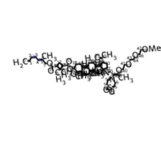 C=C/C=C\C=C(/C)COC(=O)[C@@H]1C[C@H](C(=O)O[C@H]2CC[C@]3(C)[C@H]4CC[C@@H]5[C@H]6[C@H](C(=C)C)CC[C@]6(NC[C@H]([C@@H](C)OCCOCCOCCOC)N6CCS(=O)(=O)CC6)CC[C@@]5(C)[C@]4(C)CC[C@H]3C2(C)C)C1(C)C